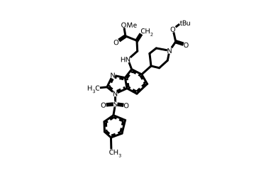 C=C(CNc1c(C2CCN(C(=O)OC(C)(C)C)CC2)ccc2c1nc(C)n2S(=O)(=O)c1ccc(C)cc1)C(=O)OC